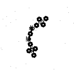 c1ccc(N2c3ccccc3N(c3ccc(-n4cc(-c5ccc(-c6cn(-c7ccc(N8c9ccccc9N(c9ccccc9)c9ccccc98)cc7)nn6)cc5)nn4)cc3)c3ccccc32)cc1